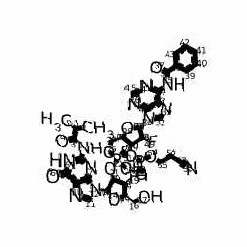 CC(C)C(=O)Nc1nc2c(ncn2[C@@H]2O[C@H](CO)[C@@H](F)[C@H]2OP(O)(=S)OC[C@H]2O[C@@H](n3cnc4c(NC(=O)c5ccccc5)ncnc43)[C@@H](F)[C@@H]2O[PH](=O)OCCC#N)c(=O)[nH]1